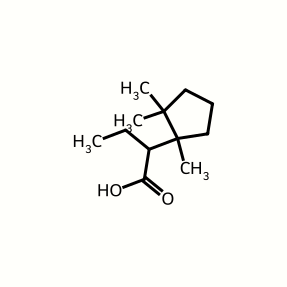 CCC(C(=O)O)C1(C)CCCC1(C)C